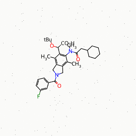 Cc1c2c(c(C)c(N(C)C(=O)CC3CCCCC3)c1C(OC(C)(C)C)C(=O)O)CN(C(=O)c1cccc(F)c1)C2